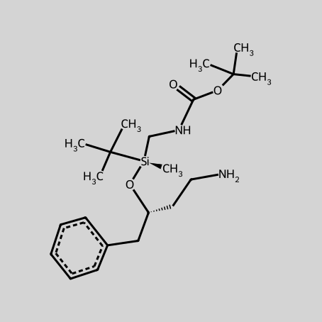 CC(C)(C)OC(=O)NC[Si@](C)(O[C@H](CCN)Cc1ccccc1)C(C)(C)C